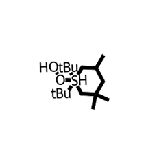 CC1CC(C)(C)C[SH](OO)(C(C)(C)C)(C(C)(C)C)C1